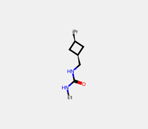 CCNC(=O)NC[C@H]1C[C@@H](C(C)C)C1